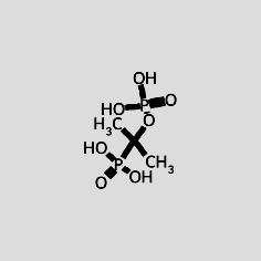 CC(C)(OP(=O)(O)O)P(=O)(O)O